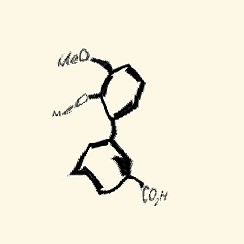 COc1cccc(-c2cccc(C(=O)O)c2)c1OC